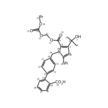 CCCc1nc(C(C)(C)O)c(C(=O)OCOC(=O)OC(C)C)n1Cc1ccc(-c2ccccc2C(=O)O)cc1